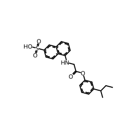 CCC(C)c1cccc(OC(=O)CNc2cccc3cc(S(=O)(=O)O)ccc23)c1